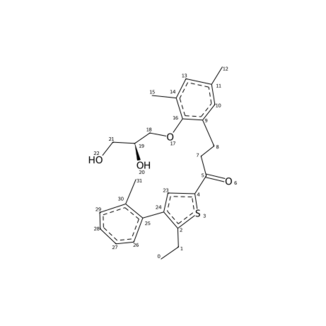 CCc1sc(C(=O)CCc2cc(C)cc(C)c2OC[C@@H](O)CO)cc1-c1ccccc1C